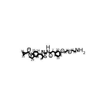 Cc1sc(NC(=O)Cc2cccc(OCCOCCN)c2)nc1-c1ccc2c(c1)CCN2C(=O)C1CC1